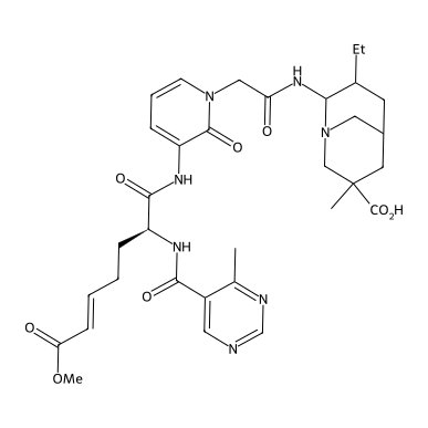 CCC1CC2CN(CC(C)(C(=O)O)C2)C1NC(=O)Cn1cccc(NC(=O)[C@H](CC/C=C/C(=O)OC)NC(=O)c2cncnc2C)c1=O